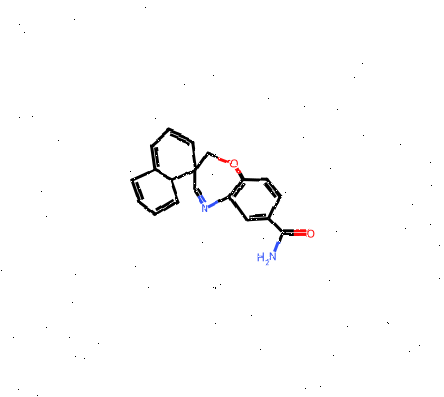 NC(=O)c1ccc2c(c1)N=CC1(C=CC=C3C=CC=CC31)CO2